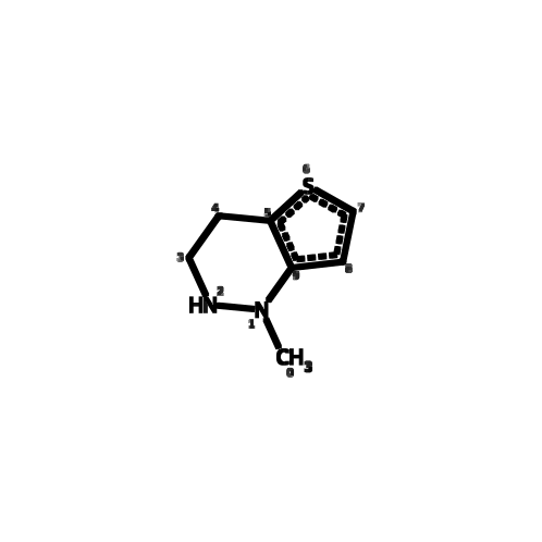 CN1NCCc2sccc21